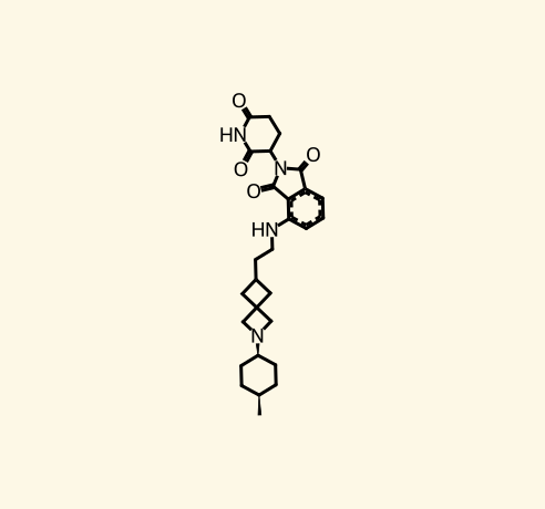 C[C@H]1CC[C@@H](N2CC3(CC(CCNc4cccc5c4C(=O)N(C4CCC(=O)NC4=O)C5=O)C3)C2)CC1